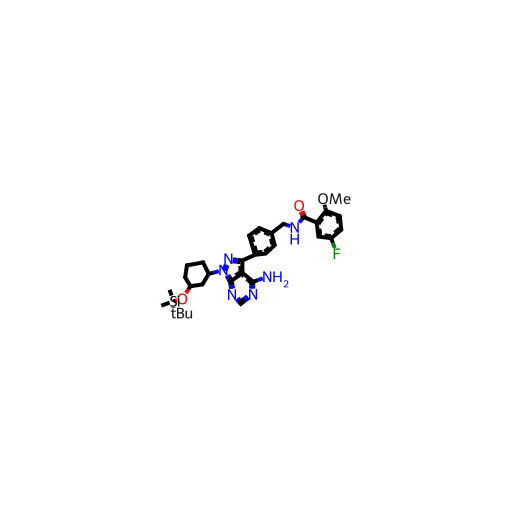 COc1ccc(F)cc1C(=O)NCc1ccc(-c2nn(C3CCCC(O[Si](C)(C)C(C)(C)C)C3)c3ncnc(N)c23)cc1